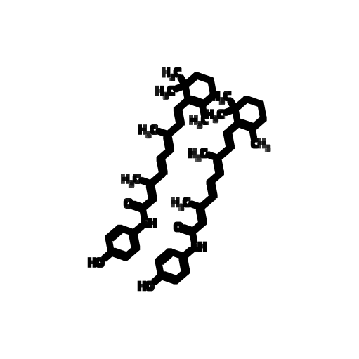 CC1=C(/C=C/C(C)=C/C=C/C(C)=C/C(=O)Nc2ccc(O)cc2)C(C)(C)CCC1.CC1=C(/C=C/C(C)=C/C=C/C(C)=C/C(=O)Nc2ccc(O)cc2)C(C)(C)CCC1